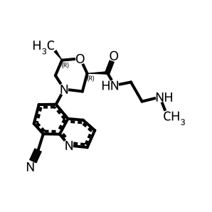 CNCCNC(=O)[C@H]1CN(c2ccc(C#N)c3ncccc23)C[C@@H](C)O1